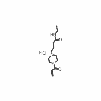 C=CC(=O)N1CCN(CCCC(=O)NCC)CC1.Cl